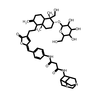 C=C1CCC2[C@](C)(CC[C@@H](OC3OC(CO)C(O)C(O)C3O)[C@@]2(C)CO)C1CCC1=C/C(=C\c2ccc(NC(=O)CC(=O)NC3C4CN5CC3CN(C4)C5)cc2)OC1=O